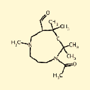 CC(=O)N1CCCN(C)CC(C=O)C(C)(C)CC1(C)C